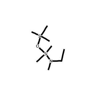 CCN(C)[Si](C)(C)O[Si](C)(C)C